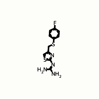 NC(N)=Nc1nc(CSc2ccc(F)cc2)cs1